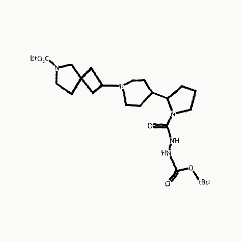 CCOC(=O)N1CCC2(CC(N3CCC(C4CCCN4C(=O)NNC(=O)OC(C)(C)C)CC3)C2)C1